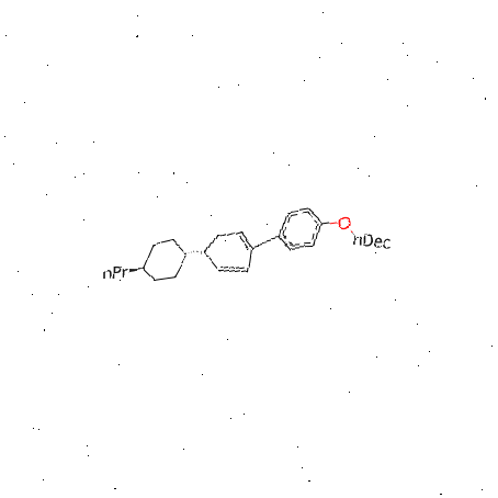 CCCCCCCCCCOc1ccc(C2=CCC([C@H]3CC[C@H](CCC)CC3)C=C2)cc1